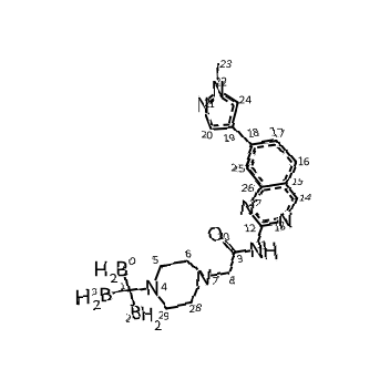 BC(B)(B)N1CCN(CC(=O)Nc2ncc3ccc(-c4cnn(C)c4)cc3n2)CC1